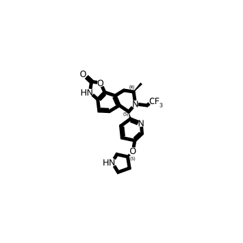 C[C@@H]1Cc2c(ccc3[nH]c(=O)oc23)[C@@H](c2ccc(O[C@H]3CCNC3)cn2)N1CC(F)(F)F